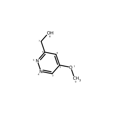 COc1cnnc(CO)c1